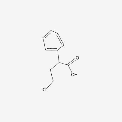 O=C(O)C(CCCl)c1ccccc1